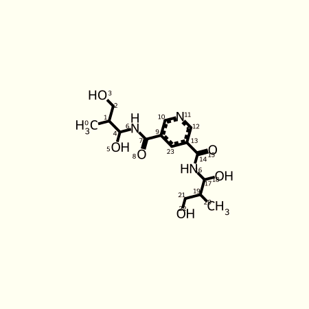 CC(CO)C(O)NC(=O)c1cncc(C(=O)NC(O)C(C)CO)c1